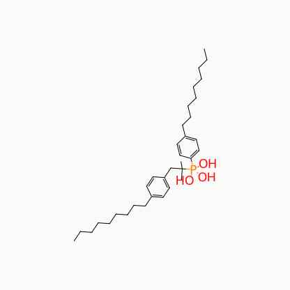 CCCCCCCCCc1ccc(CC(C)(C)P(O)(O)(O)c2ccc(CCCCCCCCC)cc2)cc1